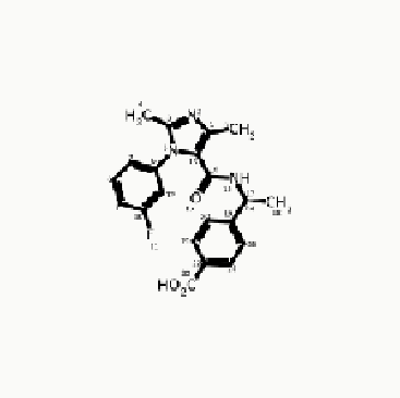 Cc1nc(C)n(-c2cccc(F)c2)c1C(=O)N[C@@H](C)c1ccc(C(=O)O)cc1